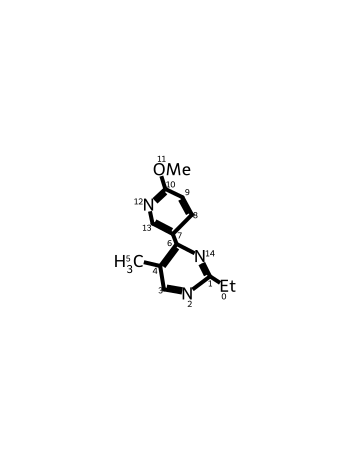 CCc1ncc(C)c(-c2ccc(OC)nc2)n1